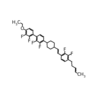 C/C=C/CCc1ccc(/C=C/C2CCC(c3ccc(-c4ccc(OCC)c(F)c4F)c(F)c3F)CC2)c(F)c1F